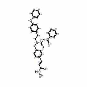 O=C(/C=C/c1ccc(CN(CCc2ccc(Oc3ccccc3)cc2)C(=O)NC(=O)c2ccccc2)cc1)NO